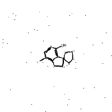 Oc1ccc(I)c2c1C1(CCCC1)CC2